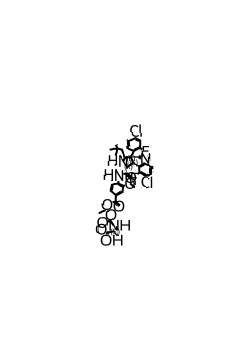 COc1cc(C(=O)OC(C)OC(=O)N[C@@H](C)C(=O)O)ccc1NC(=O)[C@@H]1NC(CC(C)(C)C)[C@](C#N)(c2ccc(Cl)cc2F)[C@H]1c1cccc(Cl)c1F